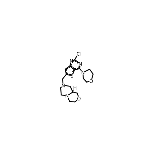 Clc1nc(N2CCOCC2)c2sc(CN3CCN4CCOC[C@@H]4C3)cc2n1